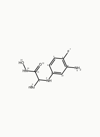 CCCCC(Nc1ccc(F)c(N)c1)C(=O)NO